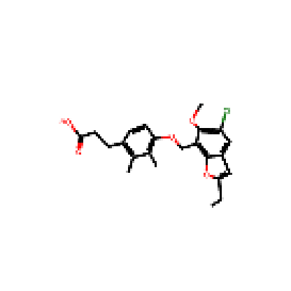 CCc1cc2cc(Cl)c(OC)c(COc3ccc(CCC(=O)O)c(C)c3C)c2o1